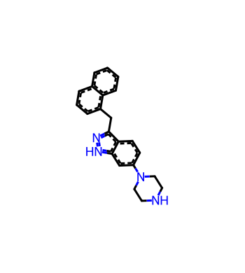 c1ccc2c(Cc3n[nH]c4cc(N5CCNCC5)ccc34)cccc2c1